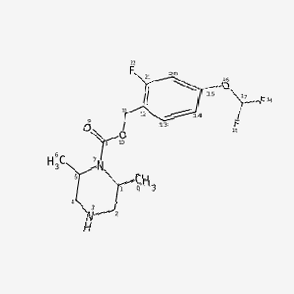 CC1CNCC(C)N1C(=O)OCc1ccc(OC(F)F)cc1F